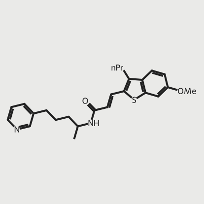 CCCc1c(/C=C/C(=O)NC(C)CCCc2cccnc2)sc2cc(OC)ccc12